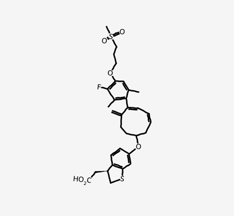 C=C1CCC(Oc2ccc3c(c2)SC[C@H]3CC(=O)O)C/C=C\C=C/1c1c(C)cc(OCCCS(C)(=O)=O)c(F)c1C